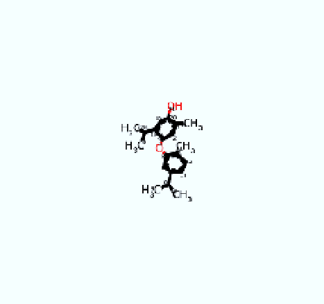 Cc1cc(Oc2cc(C(C)C)ccc2C)c(C(C)C)cc1O